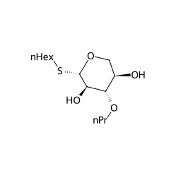 CCCCCCS[C@@H]1OC[C@@H](O)[C@H](OCCC)[C@H]1O